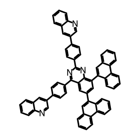 c1ccc2ncc(-c3ccc(-c4nc(-c5ccc(-c6cnc7ccccc7c6)cc5)c5cc(-c6cc7ccccc7c7ccccc67)cc(-c6cc7ccccc7c7ccccc67)c5n4)cc3)cc2c1